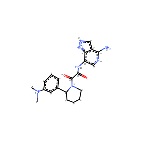 CN(C)c1cccc(C2CCCCN2C(=O)C(=O)Nc2cnc(N)c3cn[nH]c23)c1